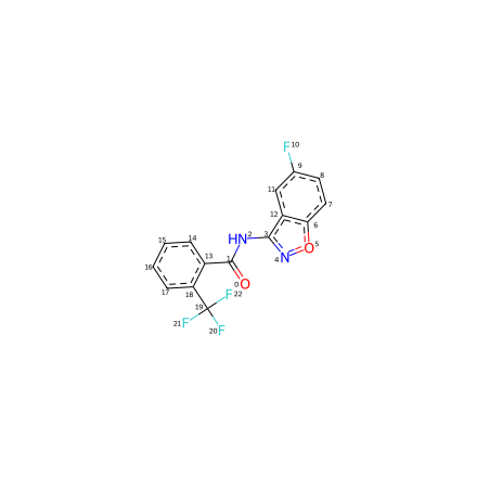 O=C(Nc1noc2ccc(F)cc12)c1ccccc1C(F)(F)F